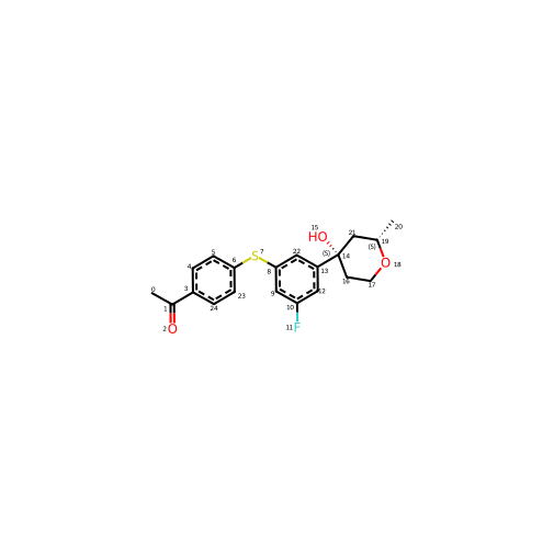 CC(=O)c1ccc(Sc2cc(F)cc([C@]3(O)CCO[C@@H](C)C3)c2)cc1